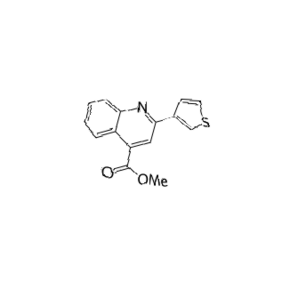 COC(=O)c1cc(-c2ccsc2)nc2ccccc12